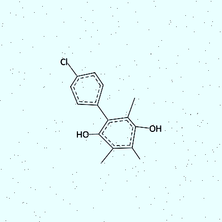 Cc1c(C)c(O)c(-c2ccc(Cl)cc2)c(C)c1O